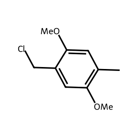 COc1cc(CCl)c(OC)cc1C